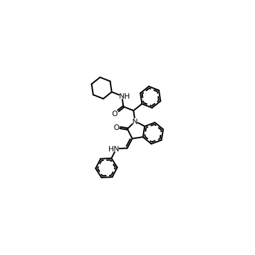 O=C(NC1CCCCC1)C(c1ccccc1)N1C(=O)/C(=C\Nc2ccccc2)c2ccccc21